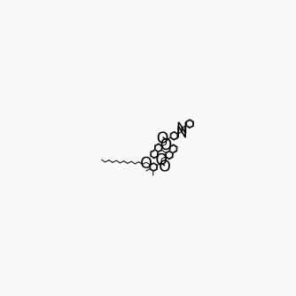 CCCCCCCCCCCCOc1cc(C(=O)Oc2ccc3ccccc3c2-c2c(OC(=O)c3ccc(/N=N/c4ccccc4)cc3)ccc3ccccc23)cc(C)c1C